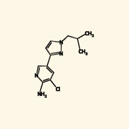 CC(C)Cn1ccc(-c2cnc(N)c(Cl)c2)n1